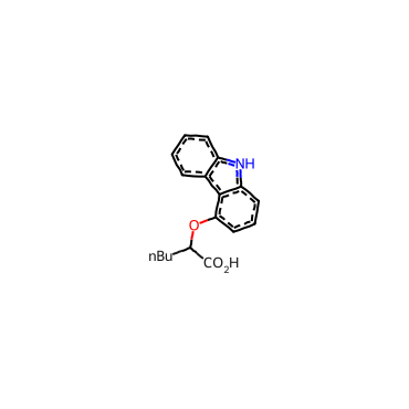 CCCCC(Oc1cccc2[nH]c3ccccc3c12)C(=O)O